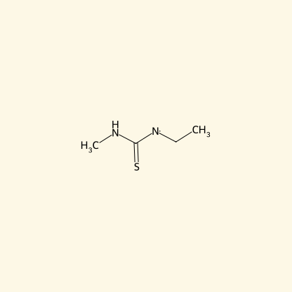 CC[N]C(=S)NC